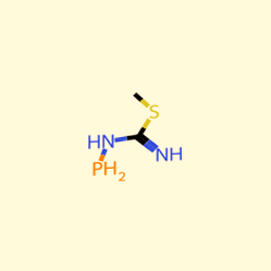 CSC(=N)NP